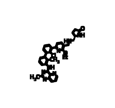 CCOc1nc(-c2cccc(-c3cccc(Nc4nc(C)nc5cccnc45)c3C)c2Cl)ccc1CNC[C@@H]1CCC(=O)N1